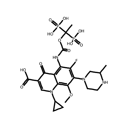 COc1c(N2CCNC(C)C2)c(F)c(NC(=O)OC(C)(P(=O)(O)O)P(=O)(O)O)c2c(=O)c(C(=O)O)cn(C3CC3)c12